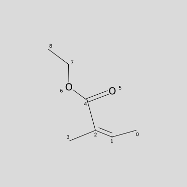 CC=C(C)C(=O)OCC